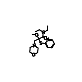 CCN(CC)C(=O)C(CN1CCOCC1)(OC)Sc1ccccn1